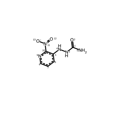 NC(=O)NNc1cccnc1[N+](=O)[O-]